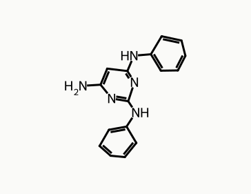 Nc1cc(Nc2ccccc2)nc(Nc2ccccc2)n1